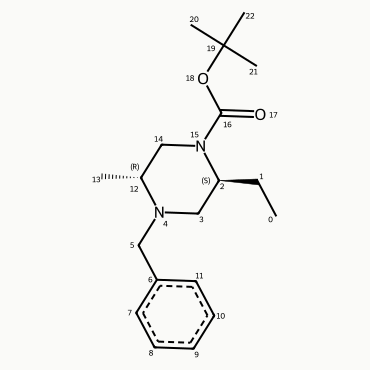 CC[C@H]1CN(Cc2ccccc2)[C@H](C)CN1C(=O)OC(C)(C)C